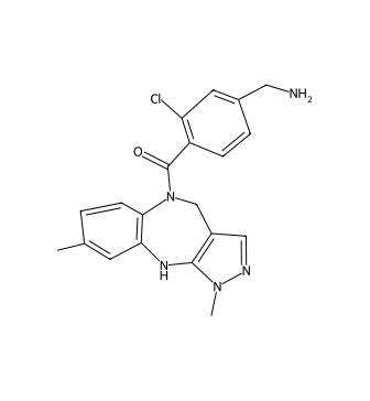 Cc1ccc2c(c1)Nc1c(cnn1C)CN2C(=O)c1ccc(CN)cc1Cl